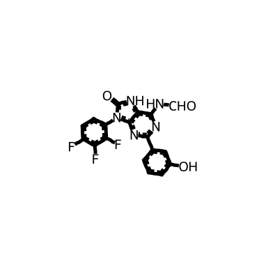 O=CNc1nc(-c2cccc(O)c2)nc2c1[nH]c(=O)n2-c1ccc(F)c(F)c1F